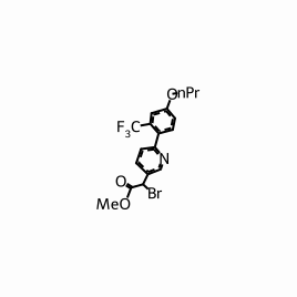 CCCOc1ccc(-c2ccc(C(Br)C(=O)OC)cn2)c(C(F)(F)F)c1